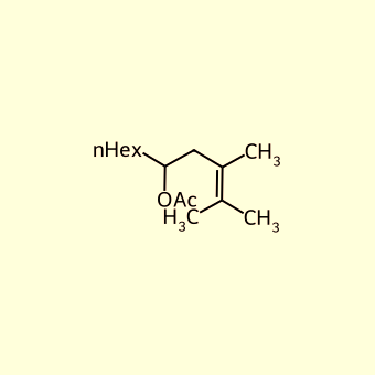 CCCCCCC(CC(C)=C(C)C)OC(C)=O